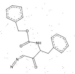 [N-]=[N+]=CC(=O)C(Cc1ccccc1)NC(=O)OCc1ccccc1